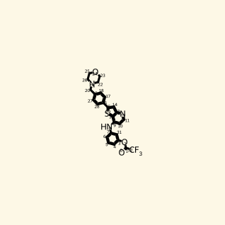 O=C(Oc1cccc(Nc2ccnc3cc(-c4ccc(CN5CCOCC5)cc4)sc23)c1)C(F)(F)F